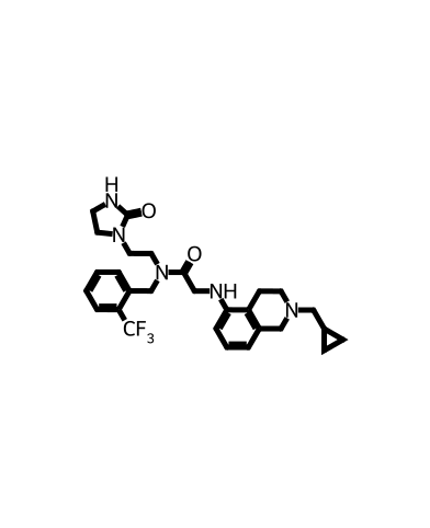 O=C(CNc1cccc2c1CCN(CC1CC1)C2)N(CCN1CCNC1=O)Cc1ccccc1C(F)(F)F